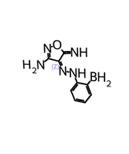 Bc1ccccc1N/N=C1\C(=N)ON=C1N